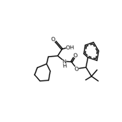 CC(C)(C)C(OC(=O)NC(CC1CCCCC1)C(=O)O)c1ccccc1